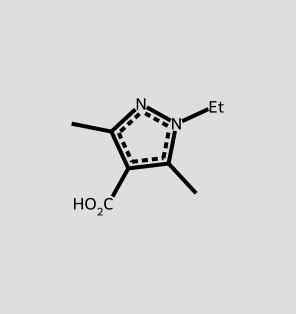 CCn1nc(C)c(C(=O)O)c1C